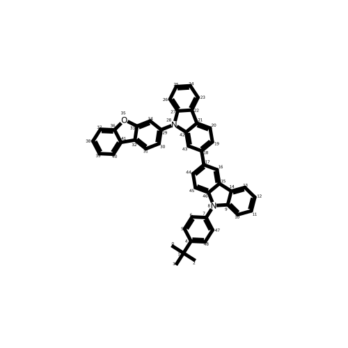 CC(C)(C)c1ccc(-n2c3ccccc3c3cc(-c4ccc5c6ccccc6n(-c6ccc7c(c6)oc6ccccc67)c5c4)ccc32)cc1